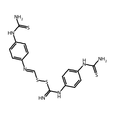 N=C(Nc1ccc(NC(N)=S)cc1)SSC=Nc1ccc(NC(N)=S)cc1